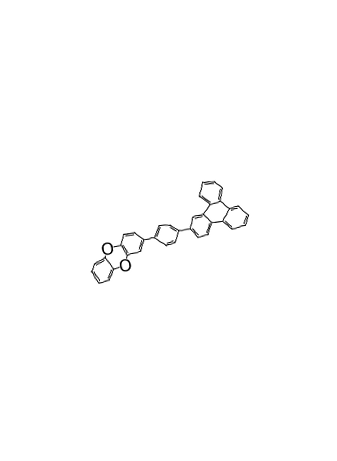 c1ccc2c(c1)Oc1ccc(-c3ccc(-c4ccc5c6ccccc6c6ccccc6c5c4)cc3)cc1O2